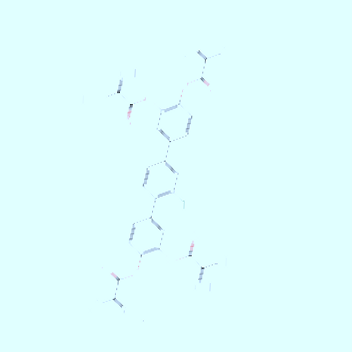 C=C(C)C(=O)Oc1ccc(-c2ccc(-c3ccc(OC(=O)C(=C)C)c(OC(=O)C(=C)C)c3)c(F)c2)cc1OC(=O)C(=C)C